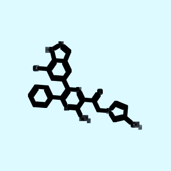 Cc1ccn(CC(=O)c2nc(-c3cc(Cl)c4[nH]ncc4c3)c(-c3ccccc3)nc2N)c1